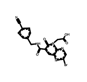 N#Cc1ccc(CNC(=O)c2cc3nc(Br)cnc3n(CC(=O)O)c2=O)cc1